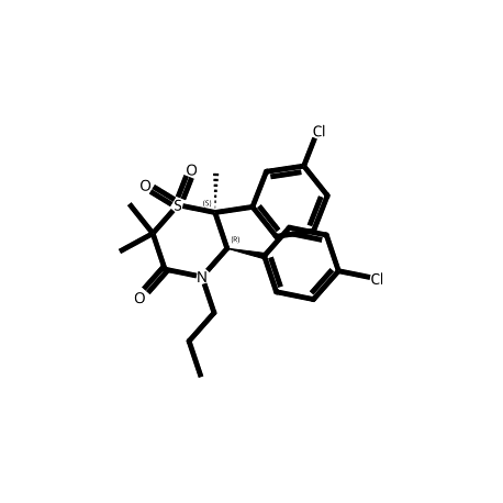 CCCN1C(=O)C(C)(C)S(=O)(=O)[C@@](C)(c2cccc(Cl)c2)[C@H]1c1ccc(Cl)cc1